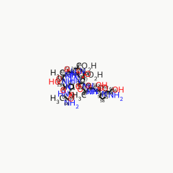 C[C@H](NC(=O)[C@@H]1CCCN1C(=O)[C@H](CO)NC(=O)[C@H](C)NC(=O)[C@H](CCC(=O)O)NC(=O)[C@H](CC(=O)O)NC(=O)[C@H](CCC(N)=O)NC(=O)[C@H](C)NC(=O)[C@H](CO)NC(=O)[C@@H]1CCCN1C(=O)[C@@H](N)CO)C(N)=O